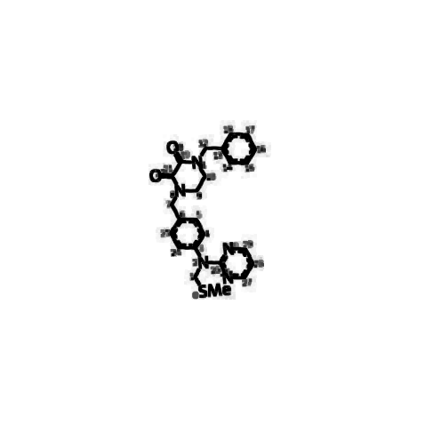 CSCN(c1ccc(CN2CCN(Cc3ccccc3)C(=O)C2=O)cc1)c1ncccn1